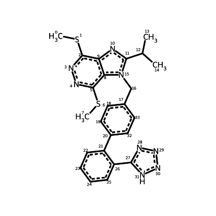 CSc1nnc(SC)c2c1nc(C(C)C)n2Cc1ccc(-c2ccccc2-c2nnn[nH]2)cc1